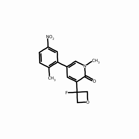 Cc1ccc([N+](=O)[O-])cc1-c1cc(C2(F)COC2)c(=O)n(C)c1